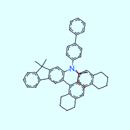 CC(C)c1ccc2c(c1-c1cc3c(cc1N(c1ccc(-c4ccccc4)cc1)c1ccc4c(c1)CCCC4)C(C)(C)c1ccccc1-3)CCCC2